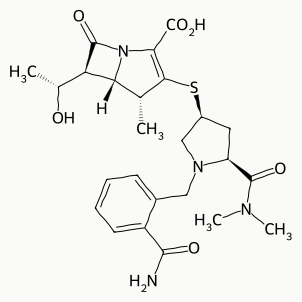 C[C@@H](O)[C@H]1C(=O)N2C(C(=O)O)=C(S[C@H]3C[C@@H](C(=O)N(C)C)N(Cc4ccccc4C(N)=O)C3)[C@H](C)[C@H]12